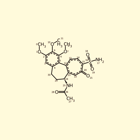 COc1cc2c(c(OC)c1OC)-c1ccc(S(N)(=O)=O)c(=O)cc1[C@@H](NC(C)=O)CC2